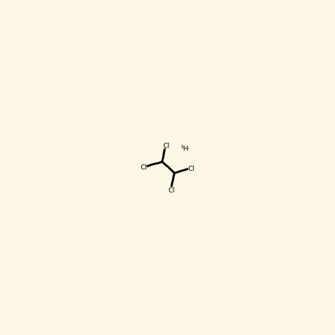 ClC(Cl)C(Cl)Cl.[3H]